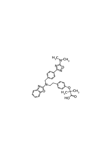 CN(C)c1nc(-c2ccc(CN(CCc3ccc(OC(C)(C)C(=O)O)cc3)c3nc4ccccc4o3)cc2)no1